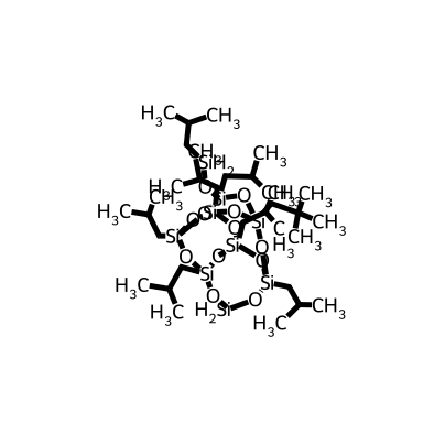 CC(C)C[SiH2]O[Si]1(CC(C)C)O[Si]2(CC(C)C)O[Si]3(CC(C)C)O[SiH2]O[Si]4(CC(C)C)O[Si](CC(C)(C)C)(O1)O[Si](CC(C)C)(O2)O[Si](CC(C)C)(O3)O4